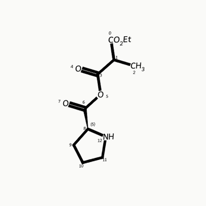 CCOC(=O)C(C)C(=O)OC(=O)[C@@H]1CCCN1